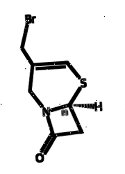 O=C1C[C@@H]2SC=C(CBr)CN12